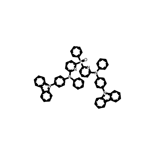 O=P(c1ccccc1)(c1cccc(N(c2ccccc2)c2ccc(-n3c4ccccc4c4ccccc43)cc2)n1)c1cccc(N(c2ccccc2)c2ccc(-n3c4ccccc4c4ccccc43)cc2)n1